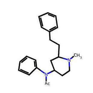 CC(=O)N(c1ccccc1)C1CCN(C)C(CCc2ccccc2)C1